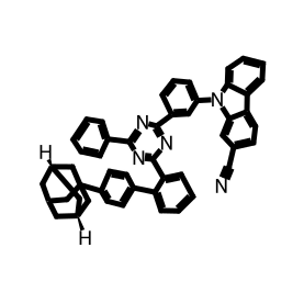 N#Cc1ccc2c3ccccc3n(-c3cccc(-c4nc(-c5ccccc5)nc(-c5ccccc5-c5ccc(C67CC8C[C@H](C6)C[C@@H](C8)C7)cc5)n4)c3)c2c1